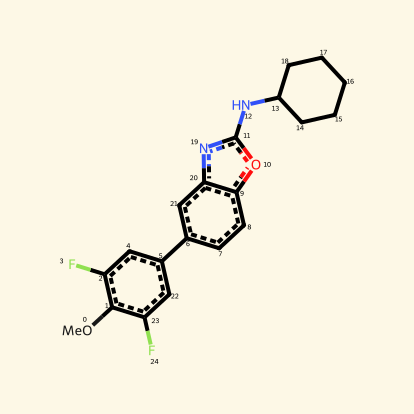 COc1c(F)cc(-c2ccc3oc(NC4CCCCC4)nc3c2)cc1F